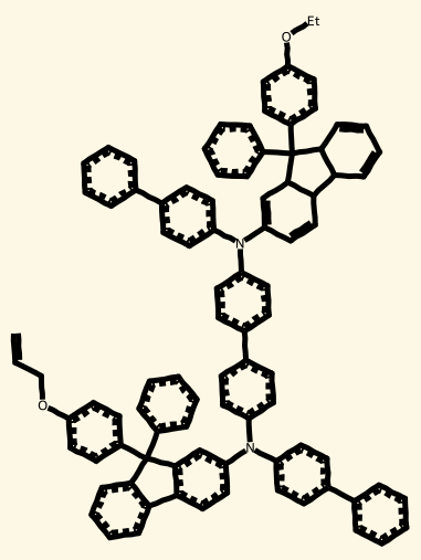 C=CCOc1ccc(C2(c3ccccc3)c3ccccc3-c3ccc(N(c4ccc(-c5ccccc5)cc4)c4ccc(-c5ccc(N(C6=CC7C(C=C6)C6C=CC=CC6C7(c6ccccc6)c6ccc(OCC)cc6)c6ccc(-c7ccccc7)cc6)cc5)cc4)cc32)cc1